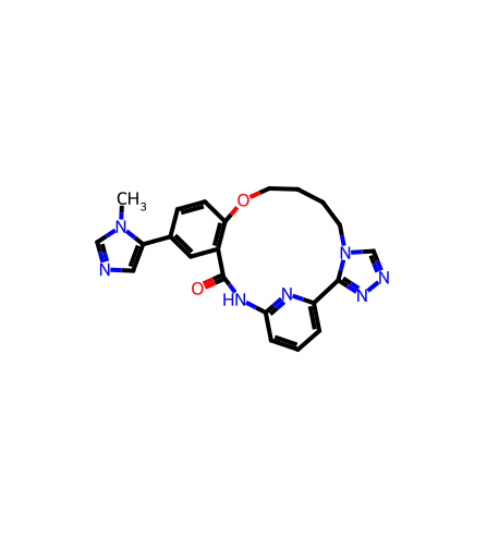 Cn1cncc1-c1ccc2c(c1)C(=O)Nc1cccc(n1)-c1nncn1CCCCO2